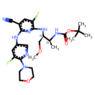 COC[C@@H](Nc1nc(Nc2cnc(N3CCOCC3)c(F)c2)c(C#N)cc1F)[C@H](C)NC(=O)OC(C)(C)C